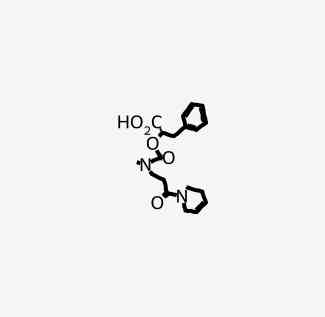 CN(CCC(=O)N1CC=CCC1)C(=O)O[C@@H](Cc1ccccc1)C(=O)O